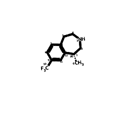 C[C@H]1CNCCc2ccc(C(F)(F)F)cc21